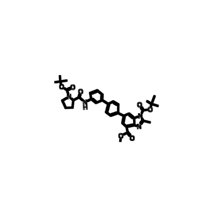 COC(=O)c1cc(-c2ccc(-c3cccc(NC(=O)C4CCCN4C(=O)OC(C)(C)C)c3)cc2)cc2c1nc(C)n2C(=O)OC(C)(C)C